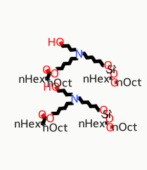 CCCCCCCCOC(CCCCCC)O[Si](C)(C)OCCCCCCN(CCCCO)CCCCCCOC(=O)C(CCCCCC)CCCCCCCC.CCCCCCCCOC(CCCCCC)O[Si](C)(C)OCCCCCCN(CCCCO)CCCCCCOC(=O)C(CCCCCC)CCCCCCCC